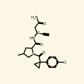 C#C[C@H](CC(N)=O)NC(=O)C1CC(C)CN1C(=O)C1(c2ccc(Cl)cc2)CC1